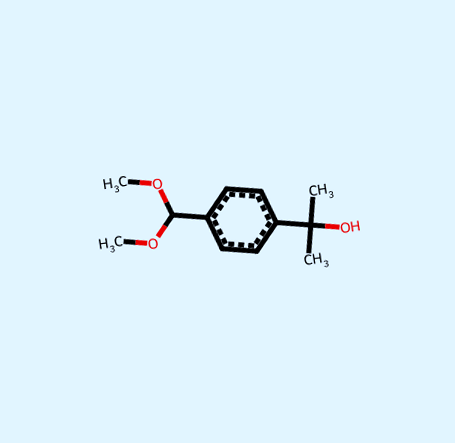 COC(OC)c1ccc(C(C)(C)O)cc1